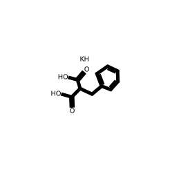 O=C(O)C(Cc1ccccc1)C(=O)O.[KH]